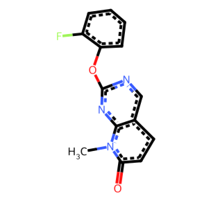 Cn1c(=O)ccc2cnc(Oc3ccccc3F)nc21